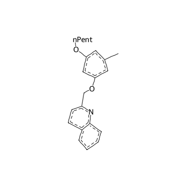 CCCCCOc1cc(C)cc(OCc2ccc3ccccc3n2)c1